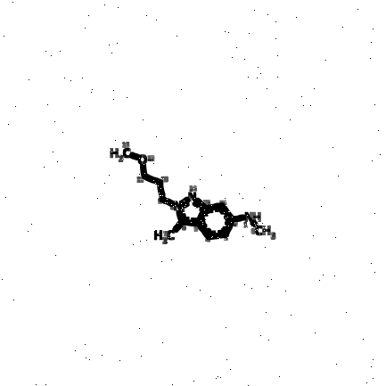 CNc1ccc2c(C)n(CCCOC)nc2c1